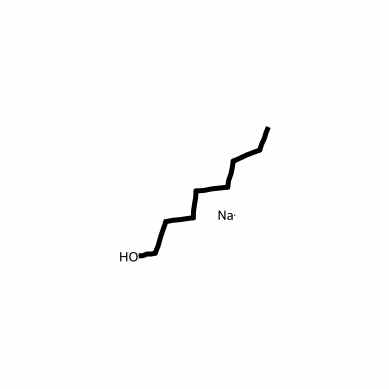 CCCCCCCCO.[Na]